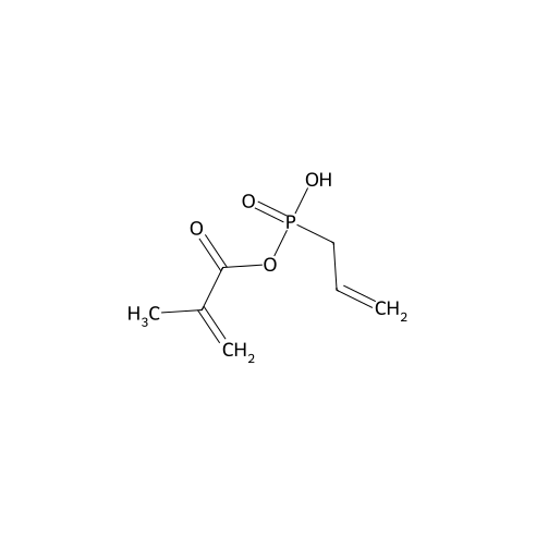 C=CCP(=O)(O)OC(=O)C(=C)C